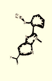 CCSc1ccccc1-c1nc2cc(C(F)F)cnc2n1C